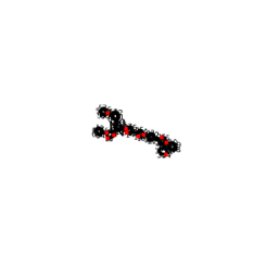 c1ccc(-c2cccc(-c3nc(-c4ccc(-c5ccc(-c6ccc(-c7ccc8c(c7)C7(CCCCC7)c7ccccc7-8)cc6)cc5)cc4)nc(-c4cccc(-c5ccccc5)c4)n3)c2)cc1